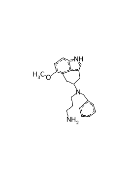 COc1ccc2[nH]cc3c2c1CC(N(CCCN)Cc1ccccc1)C3